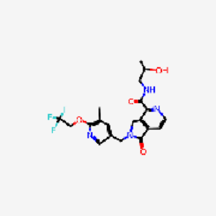 Cc1cc(CN2Cc3c(ccnc3C(=O)NCC(C)O)C2=O)cnc1OCC(F)(F)F